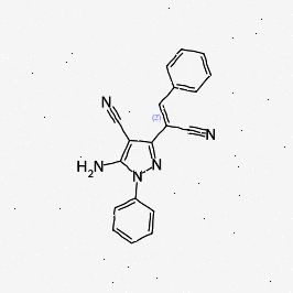 N#C/C(=C\c1ccccc1)c1nn(-c2ccccc2)c(N)c1C#N